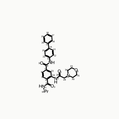 CC(C)NC(=O)c1ccc(C(=O)Nc2ccc(-c3ccccc3)cc2)cc1NC(=O)CN1CCOCC1